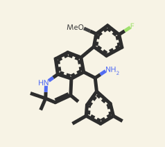 COc1cc(F)ccc1-c1ccc2c(c1C(N)c1cc(C)cc(C)c1)C(C)=CC(C)(C)N2